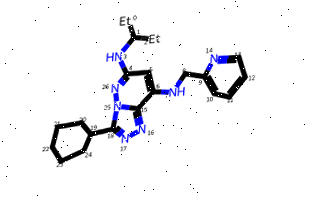 CCC(CC)Nc1cc(NCc2ccccn2)c2nnc(C3CCCCC3)n2n1